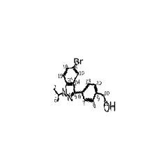 CC(C)n1nc(-c2ccc(CO)cc2)c2cc(Br)ccc21